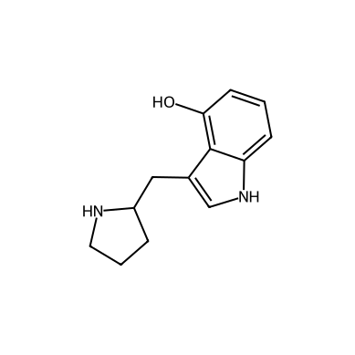 Oc1cccc2[nH]cc(CC3CCCN3)c12